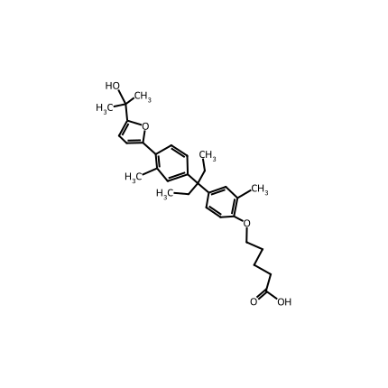 CCC(CC)(c1ccc(OCCCCC(=O)O)c(C)c1)c1ccc(-c2ccc(C(C)(C)O)o2)c(C)c1